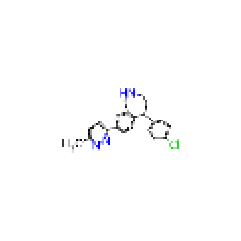 Cc1ccc(-c2ccc3c(c2)CNCCC3c2ccc(Cl)cc2)nn1